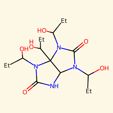 CCC(O)N1C(=O)N(C(O)CC)C2(C(O)CC)C1NC(=O)N2C(O)CC